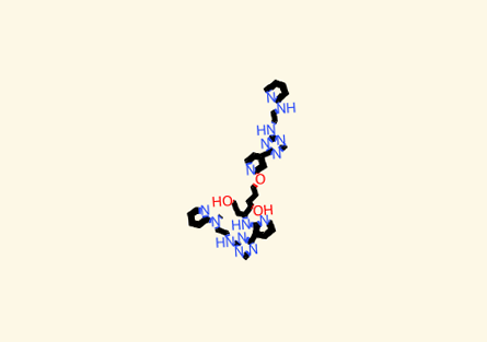 CN(CCNc1ncnc(-c2cccnc2NC(CCO)C(O)CCCOc2cc(-c3ncnc(NCCNc4ccccn4)n3)ccn2)n1)c1ccccn1